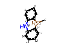 C[SH]1c2ccccc2Nc2ccccc21